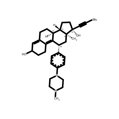 CN1CCN(c2ccc([C@H]3C[C@@]4(C)[C@@H](CC[C@@]4(O)C#CC(C)(C)C)[C@@H]4CCC5=CC(O)CCC5=C43)cc2)CC1